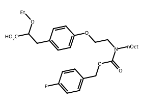 CCCCCCCCN(CCOc1ccc(CC(OCC)C(=O)O)cc1)C(=O)OCc1ccc(F)cc1